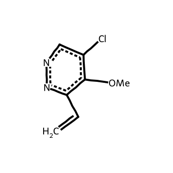 C=Cc1nncc(Cl)c1OC